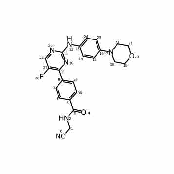 N#CCNC(=O)c1ccc(-c2nc(Nc3ccc(N4CCOCC4)cc3)ncc2F)cc1